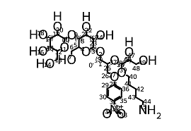 C[C@H](O[C@@H]1OC(CO)[C@H](O[C@H]2OC(CO)[C@H](O)[C@H](O)C2O)C(O)[C@@H]1O)C(COc1ccc([N+](=O)[O-])cc1)O[C@@H](OCCCCCN)[C@@H](O)CO